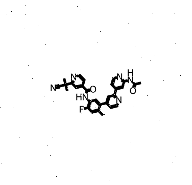 CC(=O)Nc1cc(-c2cc(-c3cc(NC(=O)c4ccnc(C(C)(C)C#N)c4)c(F)cc3C)ccn2)ccn1